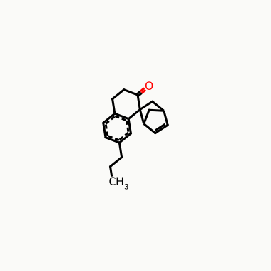 CCCc1ccc2c(c1)C1(CC3C=CC1C3)C(=O)CC2